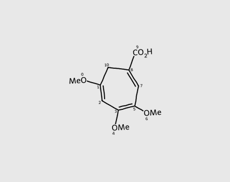 COC1=CC(OC)=C(OC)C=C(C(=O)O)C1